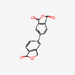 O=C1OCc2cc(-c3ccc4c(c3)C(=O)OC4=O)ccc21